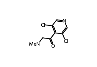 CNCC(=O)c1c(Cl)cncc1Cl